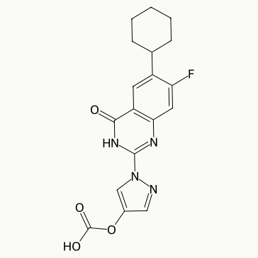 O=C(O)Oc1cnn(-c2nc3cc(F)c(C4CCCCC4)cc3c(=O)[nH]2)c1